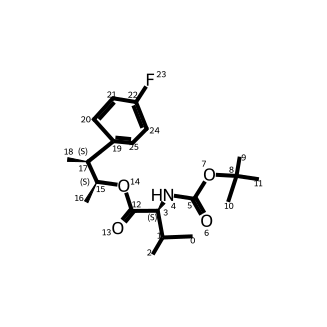 CC(C)[C@H](NC(=O)OC(C)(C)C)C(=O)O[C@@H](C)[C@@H](C)c1ccc(F)cc1